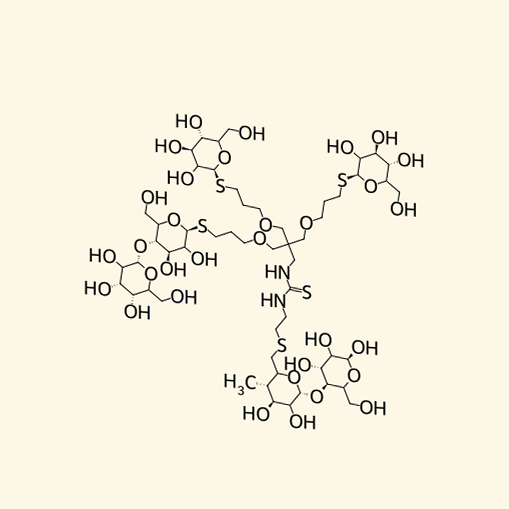 C[C@@H]1C(CSCCNC(=S)NCC(COCCCS[C@@H]2OC(CO)[C@@H](O)[C@H](O)C2O)(COCCCS[C@@H]2OC(CO)[C@@H](O)[C@H](O)C2O)COCCCS[C@@H]2OC(CO)[C@@H](O[C@@H]3OC(CO)[C@H](O)[C@H](O)C3O)[C@H](O)C2O)O[C@H](O[C@@H]2C(CO)O[C@H](O)C(O)[C@H]2O)C(O)[C@H]1O